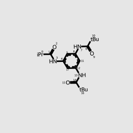 CC(C)C(=O)Nc1cc(NC(=O)C(C)(C)C)cc(NC(=O)C(C)(C)C)c1